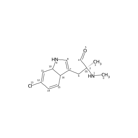 CN[C@](C)(C=O)CC1=CNC2C=C(Cl)C=CC12